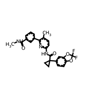 CNC(=O)c1cccc(-c2nc(NC(=O)C3(c4ccc5c(c4)OC(F)(F)O5)CC3)ccc2C)c1